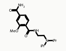 COc1cc(C(N)=O)ccc1C(=O)NCCN(C(C)C)C(C)C